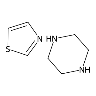 C1CNCCN1.c1cscn1